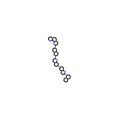 c1ccc2c(-c3ccc4cc(-c5ccc6ccc(-c7ccc8cc(-c9ccc%10ccc%11cccnc%11c%10n9)ccc8c7)nc6c5)ccc4n3)cccc2c1